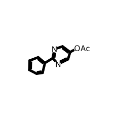 CC(=O)Oc1cnc(-c2ccccc2)nc1